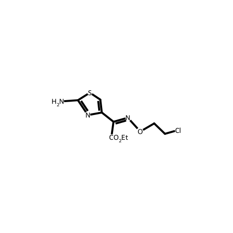 CCOC(=O)C(=NOCCCl)c1csc(N)n1